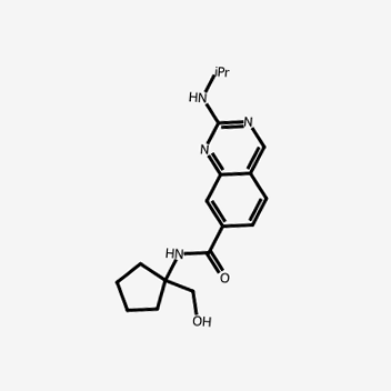 CC(C)Nc1ncc2ccc(C(=O)NC3(CO)CCCC3)cc2n1